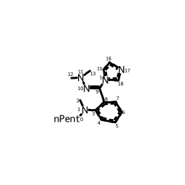 CCCCCN(C)c1ccccc1C(=NN(C)C)n1ccnc1